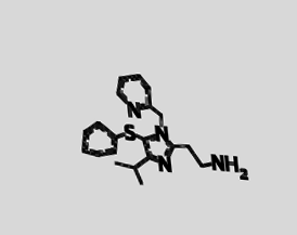 CC(C)c1nc(CCN)n(Cc2ccccn2)c1Sc1ccccc1